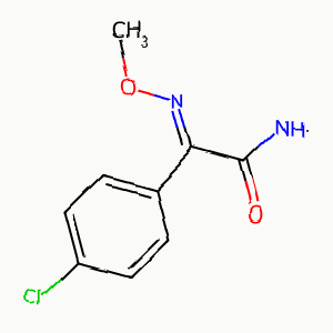 CO/N=C(/C([NH])=O)c1ccc(Cl)cc1